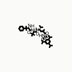 CN[C@H](C(=O)N[C@H](C(=O)N(C)[C@H](C=C(C)C(=O)NS(=O)(=O)c1c(C(C)C)cc(C(C)C)cc1C(C)C)C(C)C)C(C)(C)C)C(C)(C)c1ccccc1